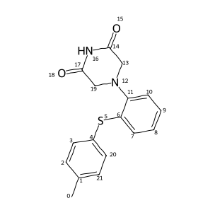 Cc1ccc(Sc2ccccc2N2CC(=O)NC(=O)C2)cc1